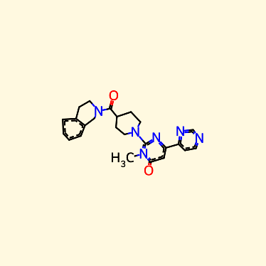 Cn1c(N2CCC(C(=O)N3CCc4ccccc4C3)CC2)nc(-c2ccncn2)cc1=O